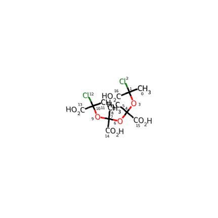 CC(Cl)(OC(C)(OC(C)(OC(C)(Cl)C(=O)O)C(=O)O)C(=O)O)C(=O)O